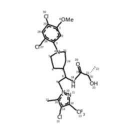 COc1cc(N2CCC(C(Cn3nc(C(F)(F)F)c(Cl)c3C)NC(=O)[C@H](C)O)CC2)c(Cl)cc1Cl